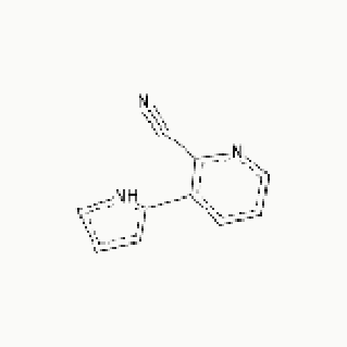 N#Cc1ncccc1-c1ccc[nH]1